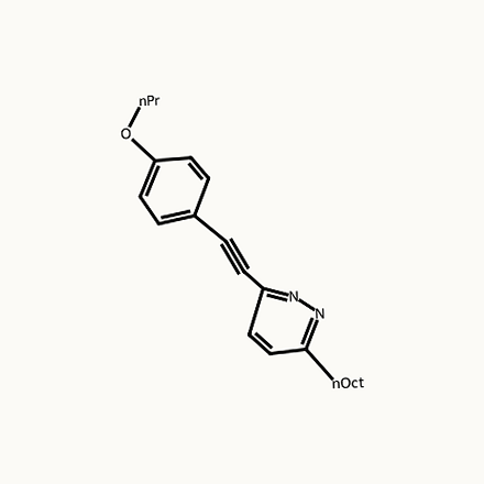 CCCCCCCCc1ccc(C#Cc2ccc(OCCC)cc2)nn1